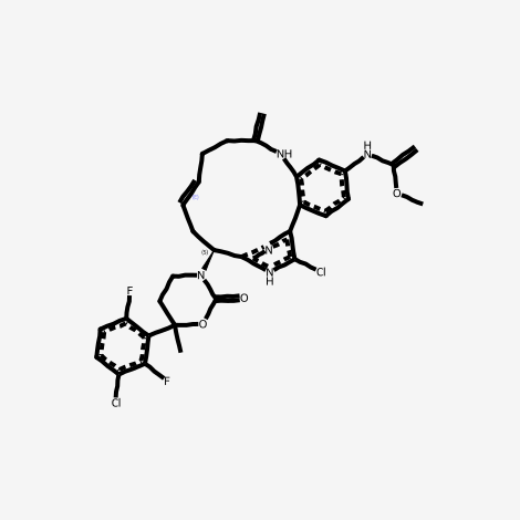 C=C1CC/C=C/C[C@H](N2CCC(C)(c3c(F)ccc(Cl)c3F)OC2=O)c2nc(c(Cl)[nH]2)-c2ccc(NC(=C)OC)cc2N1